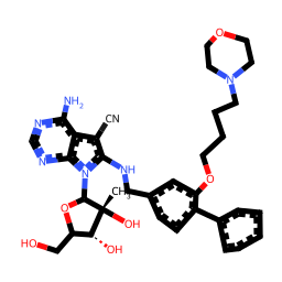 C[C@]1(O)C(n2c(NCc3ccc(-c4ccccc4)c(OCCCCN4CCOCC4)c3)c(C#N)c3c(N)ncnc32)OC(CO)[C@H]1O